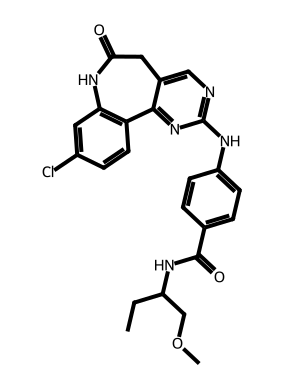 CCC(COC)NC(=O)c1ccc(Nc2ncc3c(n2)-c2ccc(Cl)cc2NC(=O)C3)cc1